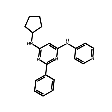 c1ccc(-c2nc(Nc3ccncc3)cc(NC3CCCC3)n2)cc1